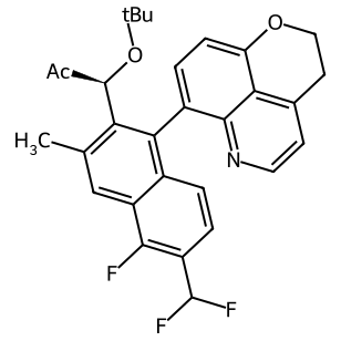 CC(=O)[C@@H](OC(C)(C)C)c1c(C)cc2c(F)c(C(F)F)ccc2c1-c1ccc2c3c(ccnc13)CCO2